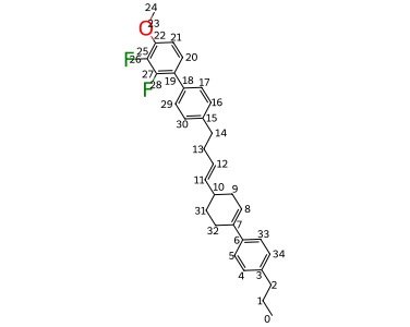 CCCc1ccc(C2=CCC(/C=C/CCc3ccc(-c4ccc(OC)c(F)c4F)cc3)CC2)cc1